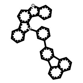 c1cc(-c2ccc3c(c2)-c2cccc4cccc-3c24)cc(-n2c3ccccc3c3ccc4oc5ccccc5c4c32)c1